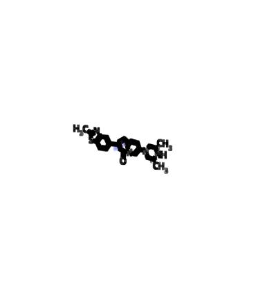 Cc1nc2cc(C3=C\C(=O)N4C=C(N5C[C@@H](C)N[C@@H](C)C5)C=C\C4=C/C=C/3)ccc2s1